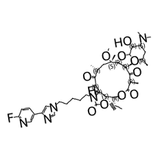 C#C[C@]12OC(=O)N(CCCCCn3cnc(-c4ccc(F)nc4)c3)[C@@H]1[C@@H](C)C(=O)[C@H](C)C[C@](C)(OC)[C@H](OC1O[C@H](C)C[C@H](N(C)C)[C@H]1O)[C@@H](C)C(=O)[C@@H](C)C(=O)O[C@@H]2CC